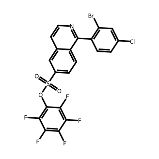 O=S(=O)(Oc1c(F)c(F)c(F)c(F)c1F)c1ccc2c(-c3ccc(Cl)cc3Br)nccc2c1